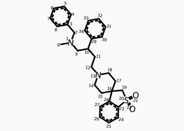 CN(Cc1ccccc1)CC(CCN1CCC2(CC1)CS(=O)(=O)c1ccccc12)c1ccccc1